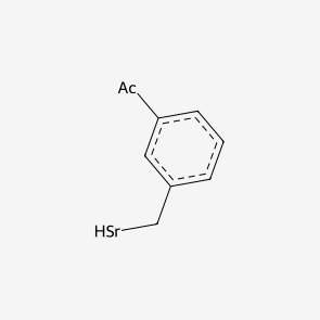 CC(=O)c1cccc([CH2][SrH])c1